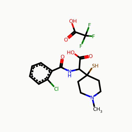 CN1CCC(S)(C(NC(=O)c2ccccc2Cl)C(=O)O)CC1.O=C(O)C(F)(F)F